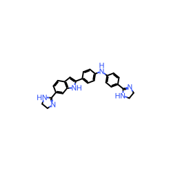 c1cc(C2=NCCN2)ccc1Nc1ccc(-c2cc3ccc(C4=NCCN4)cc3[nH]2)cc1